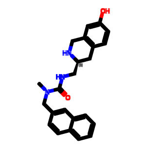 CN(Cc1ccc2ccccc2c1)C(=O)NC[C@@H]1Cc2ccc(O)cc2CN1